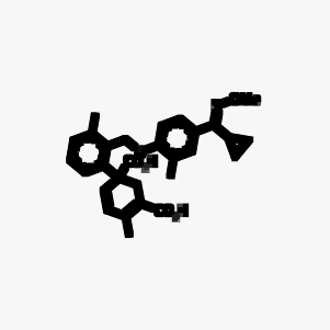 CON=C(c1ccc(OCc2c(C)cccc2C2(C(=O)O)C=CC(C)=C(C(=O)O)C2)c(C)c1)C1CC1